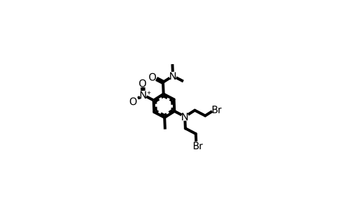 Cc1cc([N+](=O)[O-])c(C(=O)N(C)C)cc1N(CCBr)CCBr